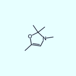 CC1=CN(C)C(C)(C)O1